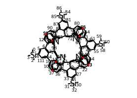 C[Si](C)(C)c1cc(-c2ccccc2)c(-c2c3nc(c(-c4c(-c5ccccc5)cc([Si](C)(C)C)cc4-c4ccccc4)c4ccc([nH]4)c(-c4c(-c5ccccc5)cc([Si](C)(C)C)cc4-c4ccccc4)c4nc(c(-c5c(-c6ccccc6)cc([Si](C)(C)C)cc5-c5ccccc5)c5ccc2[nH]5)C=C4)C=C3)c(-c2ccccc2)c1